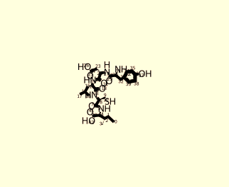 CC[C@H](C)[C@H](NC(=O)[C@H](CS)NC(=O)[C@H](CC(C)C)NC(=O)[C@H](CC(=O)O)NC(=O)[C@@H](N)Cc1ccc(O)cc1)C(=O)O